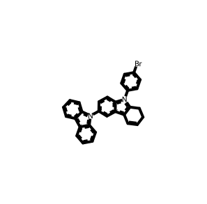 Brc1ccc(-n2c3c(c4cc(-n5c6ccccc6c6ccccc65)ccc42)C=CCC3)cc1